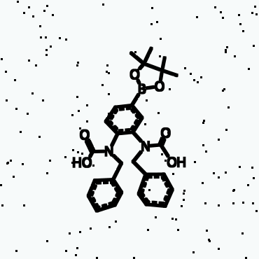 CC1(C)OB(c2ccc(N(Cc3ccccc3)C(=O)O)c(N(Cc3ccccc3)C(=O)O)c2)OC1(C)C